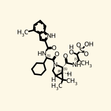 Cc1cccc2[nH]c(C(=O)N[C@H](C(=O)N3C[C@H]4[C@@H]([C@H]3C(=O)N[C@@H](C)C(O)S(=O)(=O)O)C4(C)C)C3CCCCC3)cc12